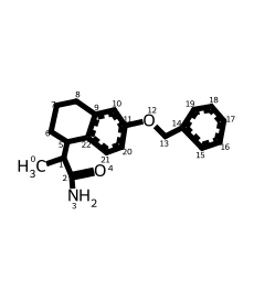 CC(C(N)=O)C1CCCc2cc(OCc3ccccc3)ccc21